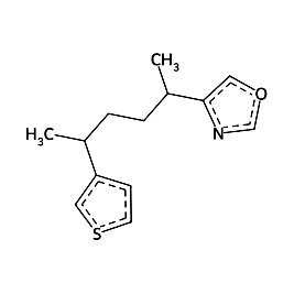 CC(CCC(C)c1cocn1)c1ccsc1